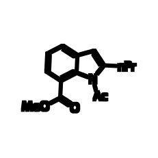 CCCc1cc2cccc(C(=O)OC)c2n1C(C)=O